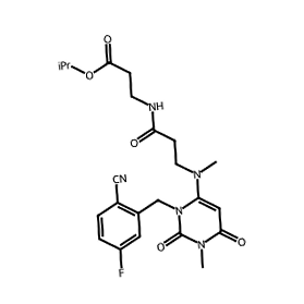 CC(C)OC(=O)CCNC(=O)CCN(C)c1cc(=O)n(C)c(=O)n1Cc1cc(F)ccc1C#N